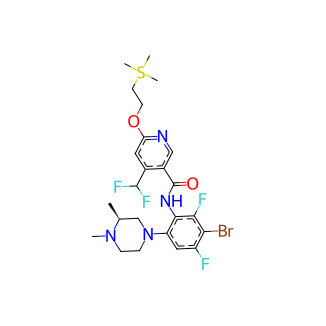 C[C@H]1CN(c2cc(F)c(Br)c(F)c2NC(=O)c2cnc(OCCS(C)(C)C)cc2C(F)F)CCN1C